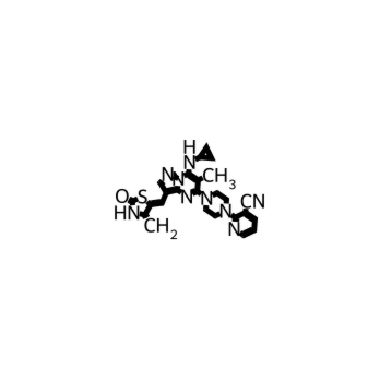 C=c1[nH]c(=O)s/c1=C\c1cnn2c(NC3CC3)c(C)c(N3CCN(c4ncccc4C#N)CC3)nc12